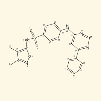 Cc1noc(NS(=O)(=O)c2ccc(Nc3cc(-c4ccccc4)ncn3)cc2)c1C